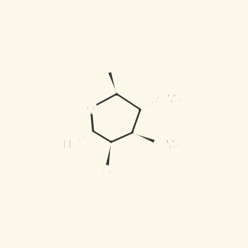 CO[C@@H]1[C@@H](OC)[C@@H](O)[C@H](S)O[C@H]1C